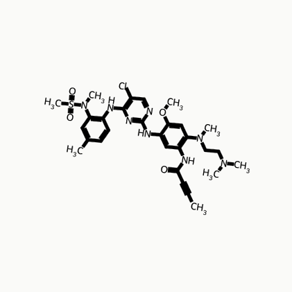 CC#CC(=O)Nc1cc(Nc2ncc(Cl)c(Nc3ccc(C)cc3N(C)S(C)(=O)=O)n2)c(OC)cc1N(C)CCN(C)C